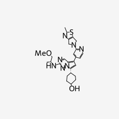 COC[C@H](C)Nc1ncc2c(-c3ccnc(N4Cc5nc(C)sc5C4)c3)cc([C@H]3CC[C@H](O)CC3)n2n1